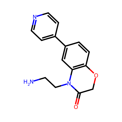 NCCN1C(=O)COc2ccc(-c3ccncc3)cc21